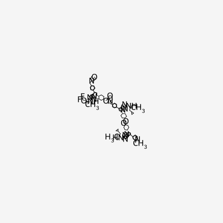 Cc1cc(-c2cc([C@H]3CC[C@H](OO[C@H]4CC[C@H](c5cc(-c6ccc(CN7CCOCC7O[C@H]7CC[C@H](c8cc(-c9ccc(CN%10CCOCC%10)cc9)c9cnc(N[C@@H](C)COC(F)F)nn98)CC7)cc6)c6cnc(N[C@@H](C)CC7CC7)nn65)CC4)CC3)n3nc(N[C@@H](C)CC4CC4)ncc23)ccn1